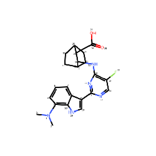 CN(C)c1cccc2c(-c3ncc(F)c(NC4C5CCC(CC5)C4C(=O)O)n3)c[nH]c12